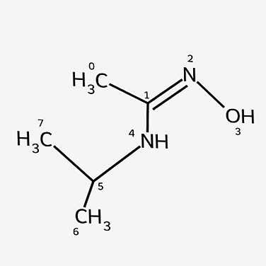 C/C(=N/O)NC(C)C